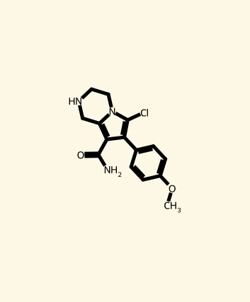 COc1ccc(-c2c(C(N)=O)c3n(c2Cl)CCNC3)cc1